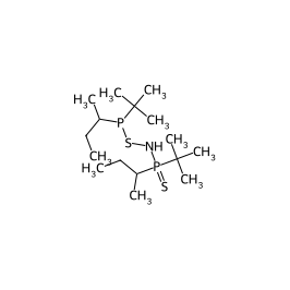 CCC(C)P(SNP(=S)(C(C)CC)C(C)(C)C)C(C)(C)C